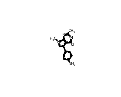 Cc1nc(Cl)c2c(-c3ccc(N)cc3)cn(C)c2n1